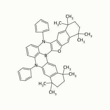 CC1(C)CCC(C)(C)c2cc3c(cc21)B1c2oc4cc5c(cc4c2N(c2ccccc2)c2cccc(c21)N3c1ccccc1)C(C)(C)CCC5(C)C